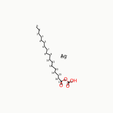 CCCCCCCCCCCCCCCCCC(=O)OC(=O)O.[Ag]